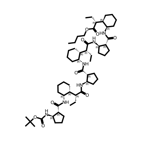 CCCCOC(=O)[C@H](CC)[C@H]1CCCC[C@H]1NC(=O)[C@@H]1CCC[C@H]1NC(=O)[C@H](CC)[C@H]1CCCC[C@H]1NC(=O)[C@@H]1CCC[C@H]1NC(=O)[C@H](CC)[C@H]1CCCC[C@H]1NC(=O)[C@@H]1CCC[C@H]1NC(=O)OC(C)(C)C